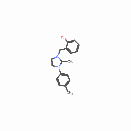 Cc1ccc(N2CCN(Cc3ccccc3O)C2C)cc1